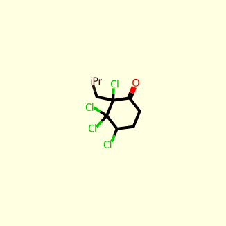 CC(C)CC1(Cl)C(=O)CCC(Cl)C1(Cl)Cl